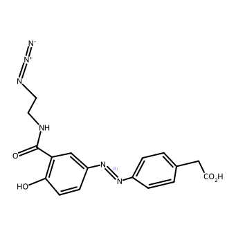 [N-]=[N+]=NCCNC(=O)c1cc(/N=N/c2ccc(CC(=O)O)cc2)ccc1O